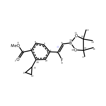 COC(=O)c1ccc(/C(F)=C/B2OC(C)(C)C(C)(C)O2)cc1C1CC1